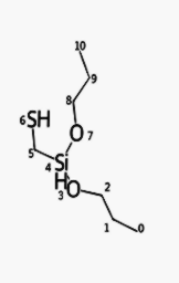 CCCO[SiH](CS)OCCC